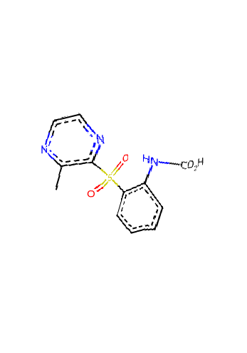 Cc1nccnc1S(=O)(=O)c1ccccc1NC(=O)O